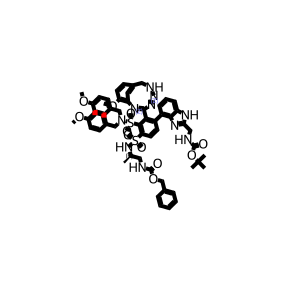 COc1ccc(CN(Cc2ccc(OC)cc2)S(=O)(=O)c2c(S(=O)(=O)N[C@H](C)CNC(=O)OCc3ccccc3)ccc(-c3cccc4[nH]c(CNC(=O)OC(C)(C)C)nc34)c2C2=N/c3cc(ccc3OC)CN/N=N\2)cc1